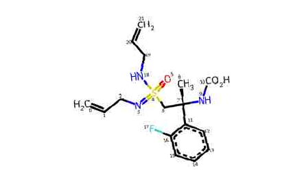 C=CCN=S(=O)(C[C@](C)(NC(=O)O)c1ccccc1F)NCC=C